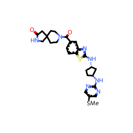 CSc1cnc(N[C@H]2CC[C@H](Nc3nc4cc(C(=O)N5CCC6(CC5)CNC(=O)C6)ccc4s3)C2)nc1